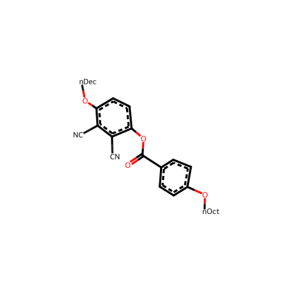 CCCCCCCCCCOc1ccc(OC(=O)c2ccc(OCCCCCCCC)cc2)c(C#N)c1C#N